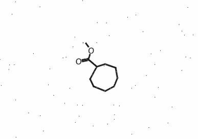 [CH2]OC(=O)C1CCCCCCC1